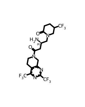 N[C@H](CC(=O)N1CCc2c(nc(C(F)(F)F)nc2C(F)(F)F)C1)CN1CC(C(F)(F)F)CCC1=O